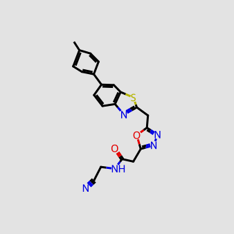 Cc1ccc(-c2ccc3nc(Cc4nnc(CC(=O)NCC#N)o4)sc3c2)cc1